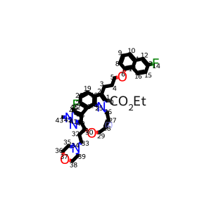 CCOC(=O)c1c(CCCOc2cccc3cc(F)ccc23)c2ccc(F)c3c2n1C/C=C\COC(CCN1CCOCC1)c1nn(C)c(C)c1-3